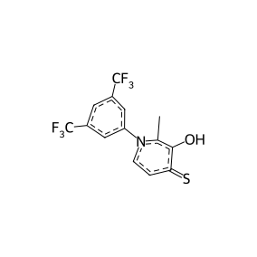 Cc1c(O)c(=S)ccn1-c1cc(C(F)(F)F)cc(C(F)(F)F)c1